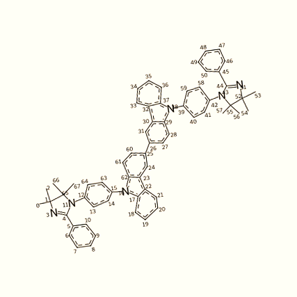 CC1(C)N=C(c2ccccc2)N(c2ccc(-n3c4ccccc4c4cc(-c5ccc6c(c5)c5ccccc5n6-c5ccc(N6C(c7ccccc7)=NC(C)(C)C6(C)C)cc5)ccc43)cc2)C1(C)C